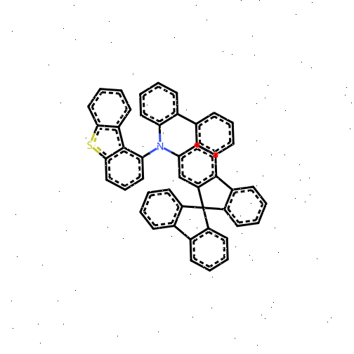 c1ccc(-c2ccccc2N(c2ccc3c(c2)C2(c4ccccc4-c4ccccc42)c2ccccc2-3)c2cccc3sc4ccccc4c23)cc1